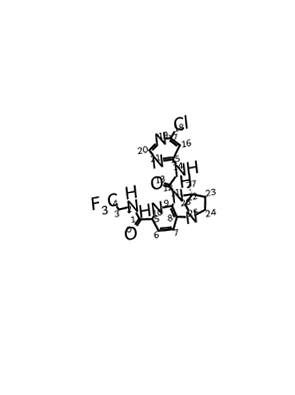 O=C(NCC(F)(F)F)C1C=CC2=C(N1)N(C(=O)Nc1cc(Cl)ncn1)[C@H]1CCN2C1